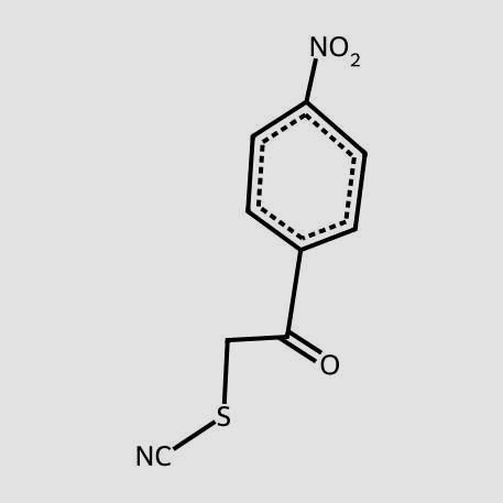 N#CSCC(=O)c1ccc([N+](=O)[O-])cc1